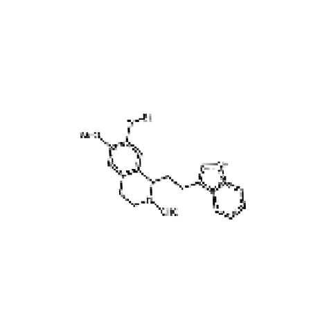 CCOc1cc2c(cc1OC)CCN(C=O)C2CCc1c[nH]c2ccccc12